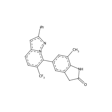 Cc1cc(-c2c(C(F)(F)F)ccc3cc(C(C)C)nn23)cc2c1NC(=O)C2